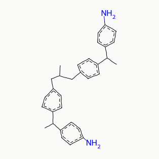 CC(Cc1ccc(C(C)c2ccc(N)cc2)cc1)Cc1ccc(C(C)c2ccc(N)cc2)cc1